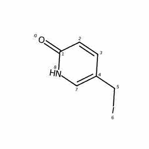 O=c1ccc(CI)c[nH]1